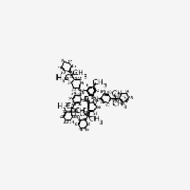 Cc1cc2c3c(c1)N(C1=CC=C(C(C)(C)C4=CCCC=C4)CC1)C1C=CC(C(C)(C)C4C=CCCC4)=CC1B3C1=CC(C(C)(C)C3C=CCCC3)=CCC1N2C1=CCC(C(C)(C)C2=CC=CCC2)C=C1